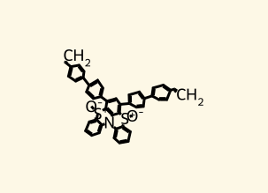 C=Cc1ccc(-c2ccc(-c3cc(-c4ccc(-c5ccc(C=C)cc5)cc4)c4c5c3[S+]([O-])c3ccccc3N5c3ccccc3[S+]4[O-])cc2)cc1